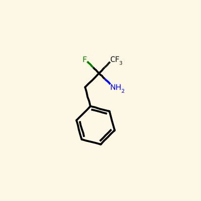 NC(F)(Cc1ccccc1)C(F)(F)F